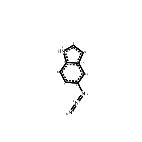 [N-]=[N+]=Nc1ccc2[nH]ccc2c1